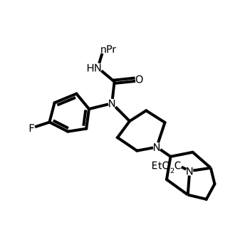 CCCNC(=O)N(c1ccc(F)cc1)C1CCN(C2CC3CCC(C2)N3C(=O)OCC)CC1